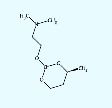 C[C@H]1CCOB(OCCN(C)C)O1